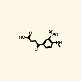 CNc1ccc(C(=O)CCC(=O)O)cc1[N+](=O)[O-]